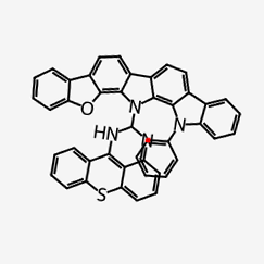 c1ccc(-n2c3ccccc3c3ccc4c5ccc6c7ccccc7oc6c5n(C5N=c6cccc7c6=C(N5)c5ccccc5S7)c4c32)cc1